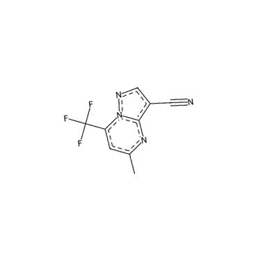 Cc1cc(C(F)(F)F)n2ncc(C#N)c2n1